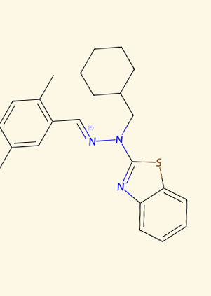 Cc1ccc(C)c(/C=N/N(CC2CCCCC2)c2nc3ccccc3s2)c1